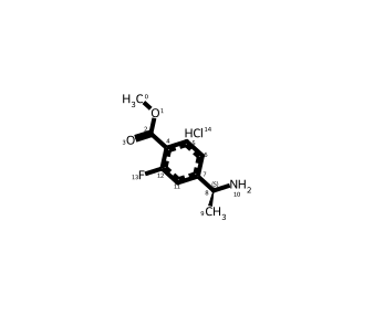 COC(=O)c1ccc([C@H](C)N)cc1F.Cl